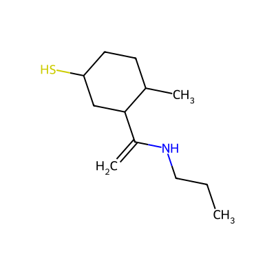 C=C(NCCC)C1CC(S)CCC1C